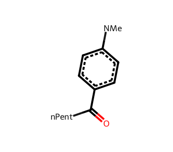 CCCCCC(=O)c1ccc(NC)cc1